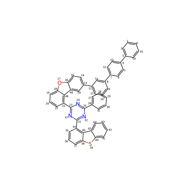 c1ccc(-c2ccc(-c3cccc(-c4ccc5oc6cccc(-c7nc(-c8ccccc8)nc(-c8cccc9sc%10ccccc%10c89)n7)c6c5c4)c3)cc2)cc1